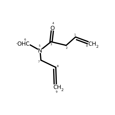 C=CCC(=O)N([C]=O)CC=C